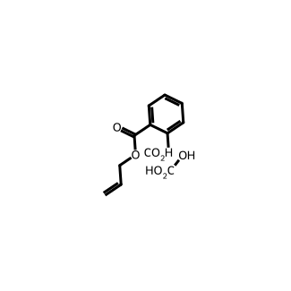 C=CCOC(=O)c1ccccc1C(=O)O.O=C(O)O